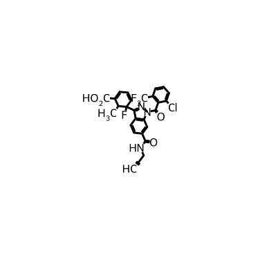 C#CCNC(=O)c1ccc2c(C3(F)C=CC=C(C(=O)O)C3C)nn(C(=O)c3c(Cl)cccc3C(F)(F)F)c2c1